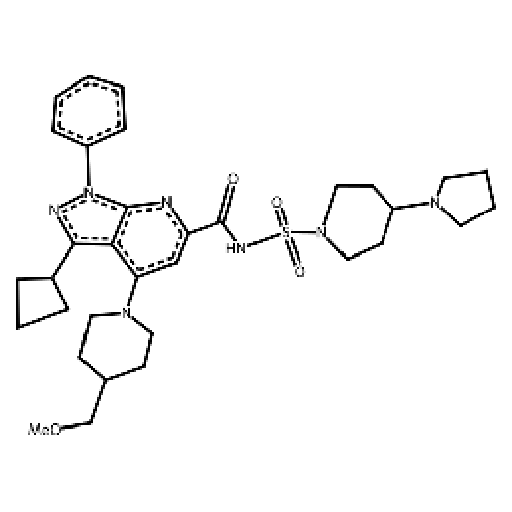 COCC1CCN(c2cc(C(=O)NS(=O)(=O)N3CCC(N4CCCC4)CC3)nc3c2c(C2CCC2)nn3-c2ccccc2)CC1